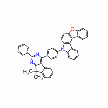 CC1(C)c2ccccc2-c2c(-c3ccc(-n4c5ccccc5c5c6c(ccc54)oc4ccccc46)cc3)nc(-c3ccccc3)nc21